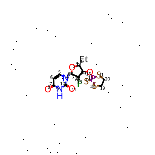 CC[C@H]1O[C@@H](n2ccc(=O)[nH]c2=O)[C@H](F)[C@@H]1OP1(=S)SCCS1